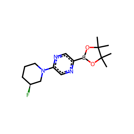 CC1(C)OB(c2cnc(N3CCC[C@H](F)C3)cn2)OC1(C)C